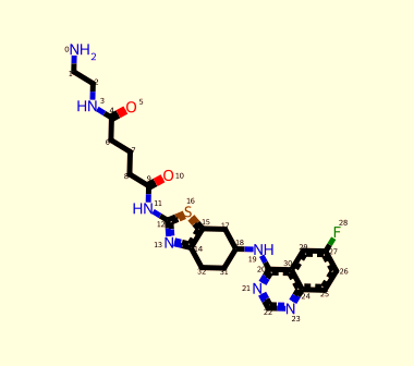 NCCNC(=O)CCCC(=O)Nc1nc2c(s1)CC(Nc1ncnc3ccc(F)cc13)CC2